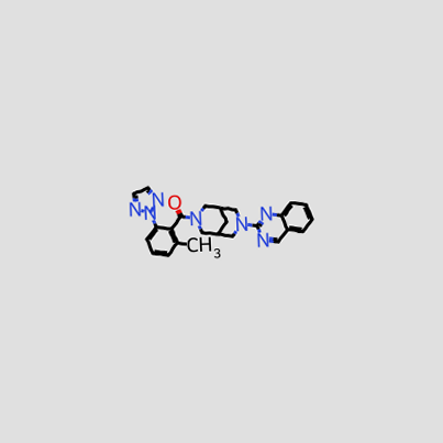 Cc1cccc(-n2nccn2)c1C(=O)N1CC2CC(C1)CN(c1ncc3ccccc3n1)C2